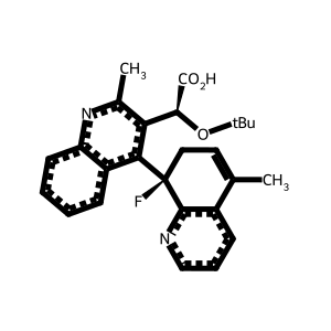 CC1=CC[C@@](F)(c2c([C@H](OC(C)(C)C)C(=O)O)c(C)nc3ccccc23)c2ncccc21